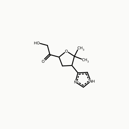 CC1(C)OC(C(=O)CO)CC1c1c[nH]cn1